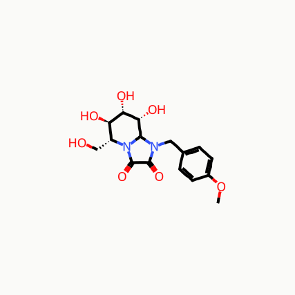 COc1ccc(CN2C(=O)C(=O)N3C2[C@@H](O)[C@@H](O)[C@H](O)[C@H]3CO)cc1